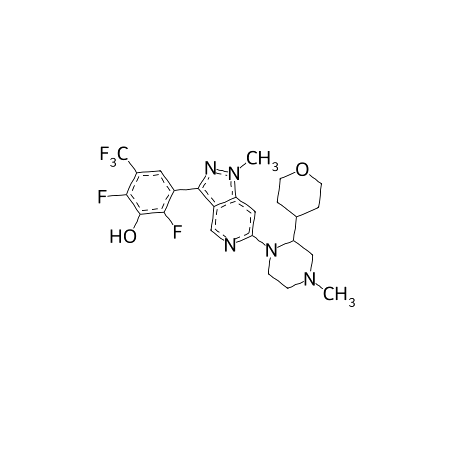 CN1CCN(c2cc3c(cn2)c(-c2cc(C(F)(F)F)c(F)c(O)c2F)nn3C)C(C2CCOCC2)C1